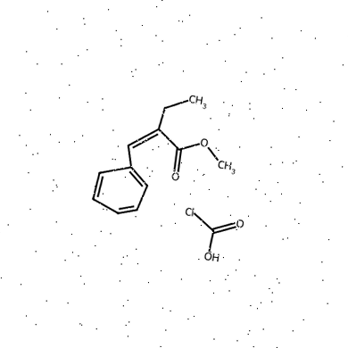 CCC(=Cc1ccccc1)C(=O)OC.O=C(O)Cl